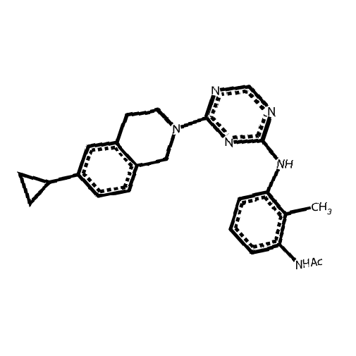 CC(=O)Nc1cccc(Nc2ncnc(N3CCc4cc(C5CC5)ccc4C3)n2)c1C